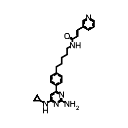 Nc1nc(NC2CC2)cc(-c2ccc(CCCCCNC(=O)/C=C/c3cccnc3)cc2)n1